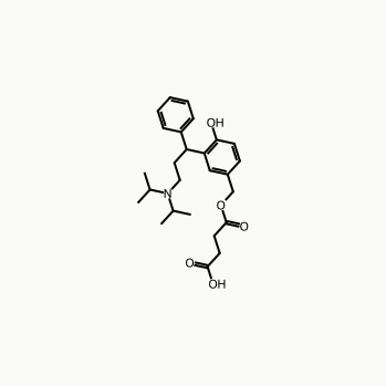 CC(C)N(CCC(c1ccccc1)c1cc(COC(=O)CCC(=O)O)ccc1O)C(C)C